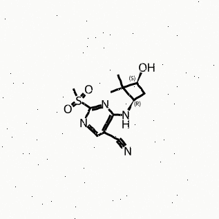 CC1(C)[C@@H](O)C[C@H]1Nc1nc(S(C)(=O)=O)ncc1C#N